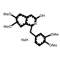 COc1ccc(Cc2nc(O)cc3cc(OC)c(OC)cc23)cc1OC.[NaH]